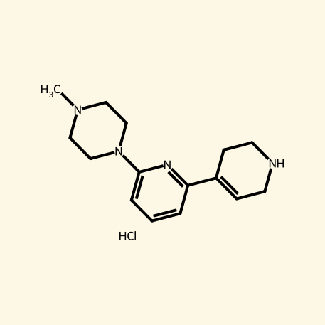 CN1CCN(c2cccc(C3=CCNCC3)n2)CC1.Cl